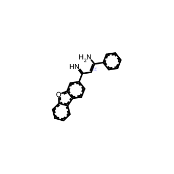 N=C(/C=C(\N)c1ccccc1)c1ccc2c(c1)oc1ccccc12